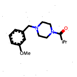 COc1cccc(CN2CCN(C(=O)C(C)C)CC2)c1